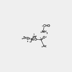 CC(=O)OC(=O)C(C)=O.C[C](C)C.NC=O.[Zn].[Zn]